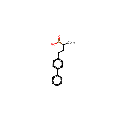 O=C(O)C(CCc1ccc(-c2ccccc2)cc1)S(=O)O